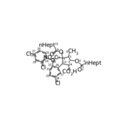 CCCCCCCC(=O)OCC(C)C(OC(=O)CCCCCCC)(C(=O)O)C(CC(=O)O)c1cc(Cl)ccc1Oc1ccc(Cl)cc1Cl